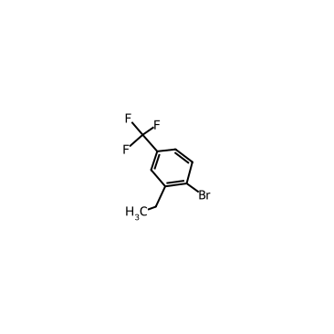 CCc1cc(C(F)(F)F)ccc1Br